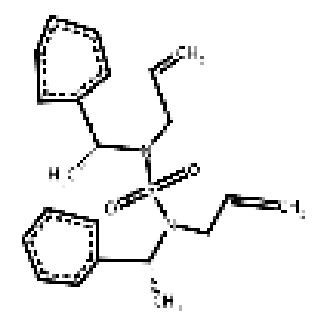 C=CCN([C@H](C)c1ccccc1)S(=O)(=O)N(CC=C)[C@H](C)c1ccccc1